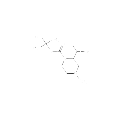 CC(C)C1CN(C)CCN1C(=O)OC(C)(C)C